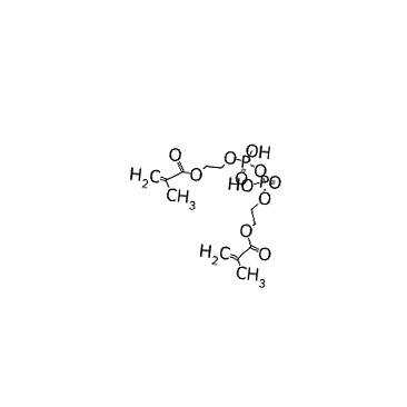 C=C(C)C(=O)OCCOP(=O)(O)OP(=O)(O)OCCOC(=O)C(=C)C